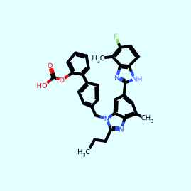 CCCc1nc2c(C)cc(-c3nc4c(C)c(F)ccc4[nH]3)cc2n1Cc1ccc(-c2ccccc2OC(=O)O)cc1